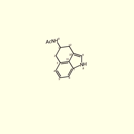 CC(=O)NC1Cc2cccc3[nH]cc(c23)C1